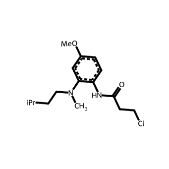 COc1ccc(NC(=O)CCCl)c(N(C)CCC(C)C)c1